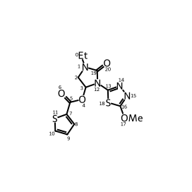 CCN1CC(OC(=O)c2cccs2)N(c2nnc(OC)s2)C1=O